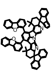 CC1(C)CCC2(c3ccccc3-c3ccccc32)c2ncc3c(c21)c1c(-c2cccc4c2oc2ccccc24)cc(-c2cccc4c2oc2ccccc24)c2c4c5c(ncc4n3c12)C1(CCC5(C)C)c2ccccc2-c2ccccc21